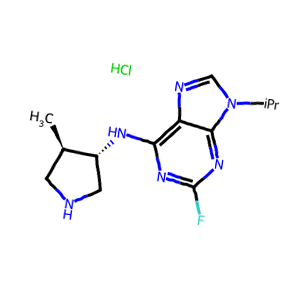 CC(C)n1cnc2c(N[C@@H]3CNC[C@H]3C)nc(F)nc21.Cl